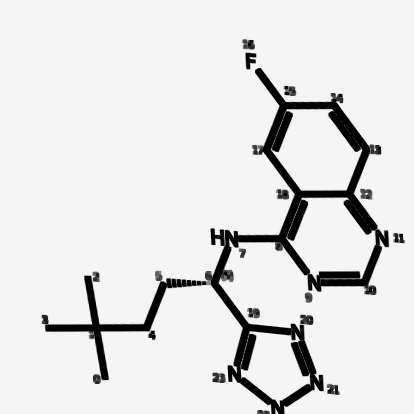 CC(C)(C)CC[C@H](Nc1ncnc2ccc(F)cc12)c1nn[nH]n1